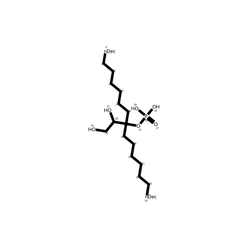 CCCCCCCCCCCCCCCCC(CCCCCCCCCCCCCCCC)(OP(=O)(O)O)C(O)CO